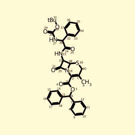 CC1=C(C(=O)OC(c2ccccc2)c2ccccc2)N2C(=O)C(NC(=O)C(NC(=O)OC(C)(C)C)c3ccccc3)C2SC1